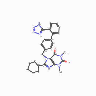 CCn1c(=O)n(C)c(=O)c2c1nc(C1CCCCC1)n2Cc1ccc(-c2ccccc2-c2nnn[nH]2)cc1